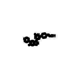 Cc1nc(N2CCN(CCO)CC2)cc(-n2ncc3cc(C)c(C4CCOCC4)cc32)n1